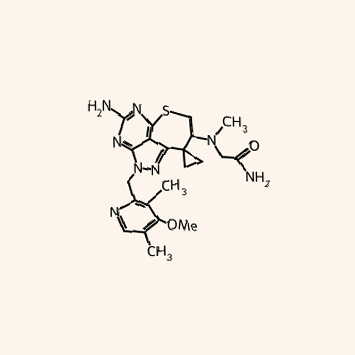 COc1c(C)cnc(Cn2nc3c4c(nc(N)nc42)SCC(N(C)CC(N)=O)C32CC2)c1C